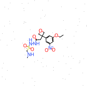 CCOc1cc([N+](=O)[O-])cc(C2(CC(=O)NNS(=O)(=O)CNC)COC2)c1